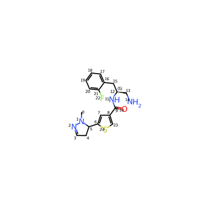 CN1N=CCC1c1cc(C(=O)N[C@H](CN)Cc2ccccc2F)cs1